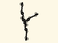 C=CC(=O)OCCCCCCOc1ccc(CCOC(=O)c2ccc3c(c2)nc(Sc2ccc(OCCCCCCOC(=O)C=C)cc2)c2cc(C(=O)OCCc4ccc(OCCCCCCOC(=O)C=C)cc4)ccc23)cc1